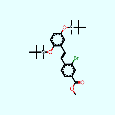 COC(=O)c1ccc(C=Cc2cc(O[Si](C)(C)C(C)(C)C)ccc2O[Si](C)(C)C(C)(C)C)c(Br)c1